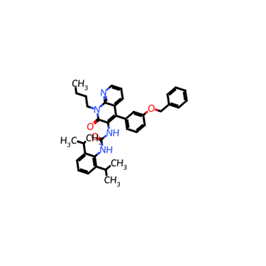 CCCCn1c(=O)c(NC(=O)Nc2c(C(C)C)cccc2C(C)C)c(-c2cccc(OCc3ccccc3)c2)c2cccnc21